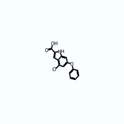 O=C(O)c1cc2c(Cl)cc(Oc3ccccc3)cc2[nH]1